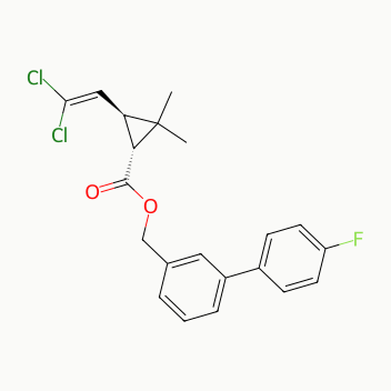 CC1(C)[C@H](C=C(Cl)Cl)[C@H]1C(=O)OCc1cccc(-c2ccc(F)cc2)c1